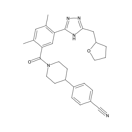 Cc1cc(C)c(-c2nnc(CC3CCCO3)[nH]2)cc1C(=O)N1CCC(c2ccc(C#N)cc2)CC1